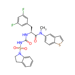 CN(C(=O)[C@H](Cc1cc(F)cc(F)c1)NC(=O)NS(=O)(=O)N1CCc2ccccc21)c1ccc2sccc2c1